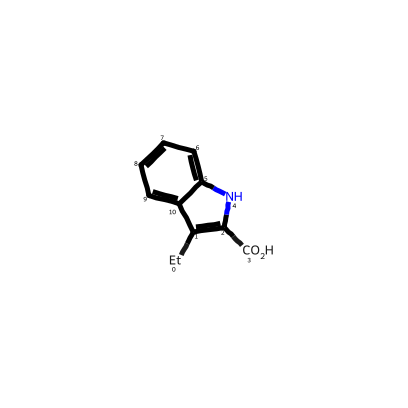 [CH2]Cc1c(C(=O)O)[nH]c2ccccc12